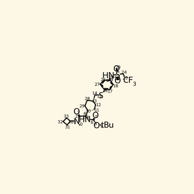 CN(C(=O)[C@@H](NC(=O)OC(C)(C)C)[C@H]1CC[C@H](CSc2ccc(NS(=O)(=O)CC(F)(F)F)cc2)CC1)C1CCC1